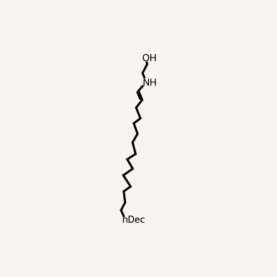 CCCCCCCCCCCCCCCCCCCCCCCC=CNCCO